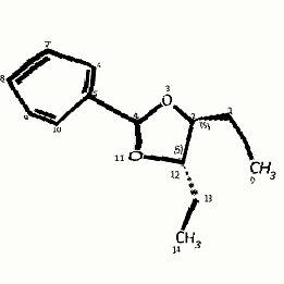 CC[C@@H]1OC(c2ccccc2)O[C@H]1CC